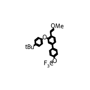 COC=Cc1ccc(-c2ccc(OC(F)(F)F)cc2)cc1Oc1ccc(C(C)(C)C)cc1